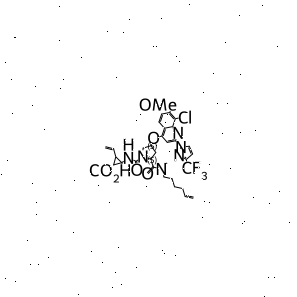 C=CCCCCN(C)C(=O)[C@@H]1C[C@H](Oc2cc(-n3ccc(C(F)(F)F)n3)nc3c(Cl)c(OC)ccc23)CN1C(=O)NC1(C(=O)O)CC1C=C